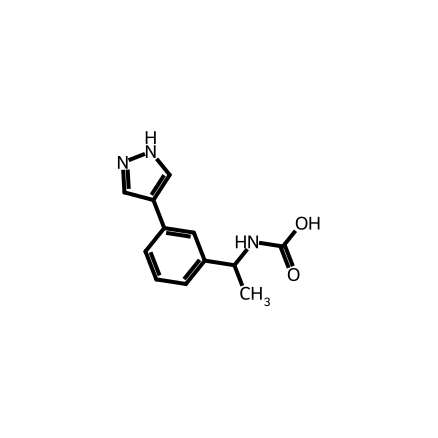 CC(NC(=O)O)c1cccc(-c2cn[nH]c2)c1